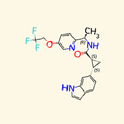 C[C@@H](NC(=O)[C@H]1C[C@@H]1c1ccc2cc[nH]c2c1)c1ccc(OCC(F)(F)F)cn1